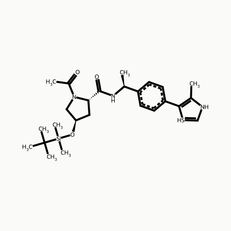 CC(=O)N1C[C@H](O[Si](C)(C)C(C)(C)C)C[C@H]1C(=O)N[C@@H](C)c1ccc(C2=C(C)NC=[SH]2)cc1